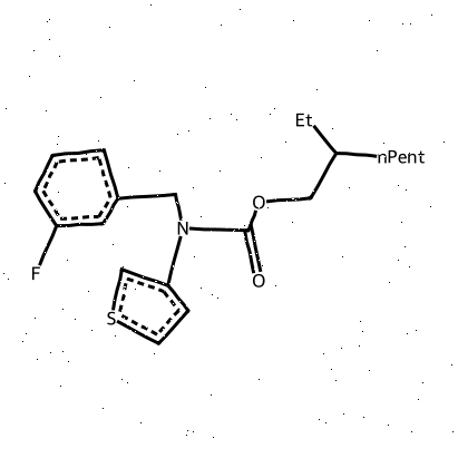 CCCCCC(CC)COC(=O)N(Cc1cccc(F)c1)c1ccsc1